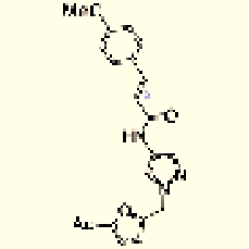 COc1ccc(/C=C/C(=O)Nc2cnn(Cc3ccc(C(C)=O)o3)c2)cc1